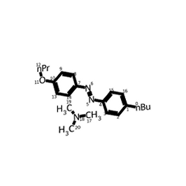 CCCCc1ccc(N=Nc2ccc(OCCC)cc2)cc1.CN(C)C